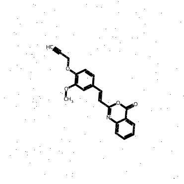 C#CCOc1ccc(C=Cc2nc3ccccc3c(=O)o2)cc1OC